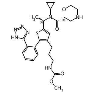 COC(=O)NCCCc1cc([C@@H](C)N(C(=O)[C@H]2CNCCO2)C2CC2)sc1-c1ccccc1-c1nnn[nH]1